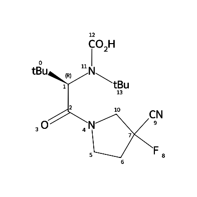 CC(C)(C)[C@H](C(=O)N1CCC(F)(C#N)C1)N(C(=O)O)C(C)(C)C